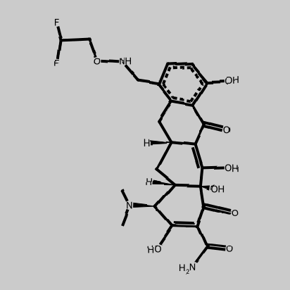 CN(C)[C@@H]1C(O)=C(C(N)=O)C(=O)[C@@]2(O)C(O)=C3C(=O)c4c(O)ccc(CNOCC(F)F)c4C[C@H]3C[C@@H]12